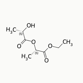 CCOC(=O)[C@H](C)OC(=O)[C@H](C)O